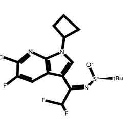 CC(C)(C)[S@+]([O-])/N=C(\c1cn(C2CCC2)c2nc(Cl)c(F)cc12)C(F)F